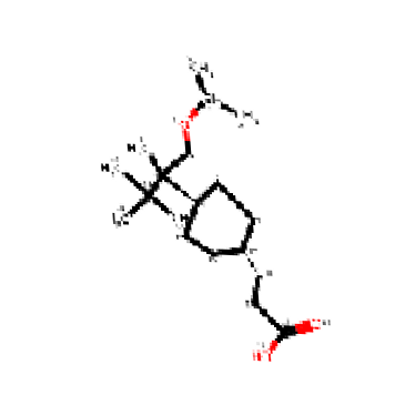 C[SiH](C)OCC(C)([C@H]1CC[C@H](CCC(=O)O)CC1)C(C)(C)C